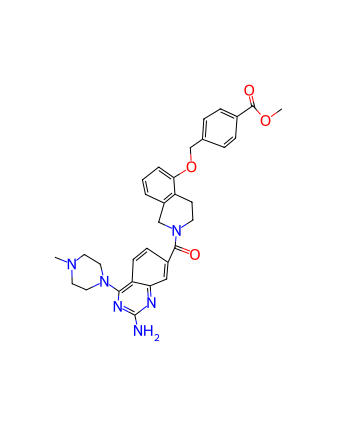 COC(=O)c1ccc(COc2cccc3c2CCN(C(=O)c2ccc4c(N5CCN(C)CC5)nc(N)nc4c2)C3)cc1